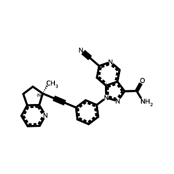 C[C@@]1(C#Cc2cccc(-n3nc(C(N)=O)c4cnc(C#N)cc43)c2)CCc2cccnc21